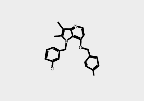 Cc1c(C)n(Cc2cccc(Cl)c2)c2c(OCc3ccc(F)cc3)ccnc12